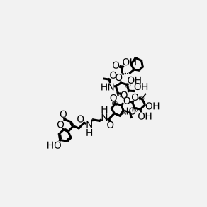 CC[C@H]1CC(C(=O)NCCNC(=O)Cc2cc(=O)oc3cc(O)ccc23)C[C@@H](O[C@@H]2OC(CO)[C@H](O)C(O[C@@H](CC3CCCCC3)C(=O)O)C2NC(C)=O)C1OC1O[C@@H](C)C(O)C(O)[C@@H]1O